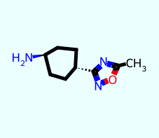 Cc1nc([C@H]2CC[C@H](N)CC2)no1